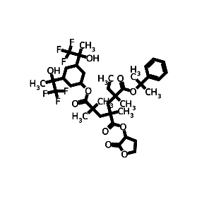 CCC(C)(CC(C)(CC(C)(C)C(=O)OC1CC(C(C)(O)C(F)(F)F)CC(C(C)(O)C(F)(F)F)C1)C(=O)OC1CCOC1=O)C(=O)OC(C)(C)c1ccccc1